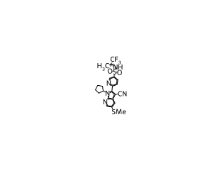 CSc1cnc2c(c1)c(C#N)c(-c1ccc(S(=O)(=O)N[C@H](C)C(F)(F)F)cn1)n2C1CCCC1